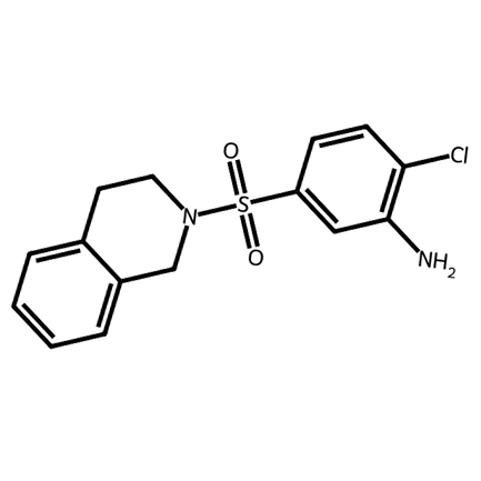 Nc1cc(S(=O)(=O)N2CCc3ccccc3C2)ccc1Cl